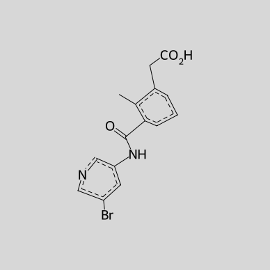 Cc1c(CC(=O)O)cccc1C(=O)Nc1cncc(Br)c1